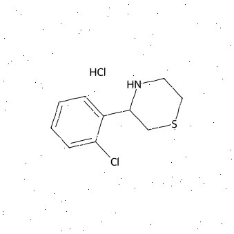 Cl.Clc1ccccc1C1CSCCN1